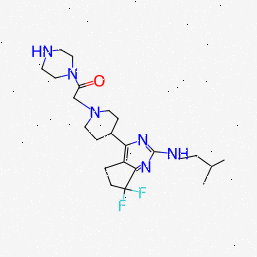 CC(C)CCNc1nc(C2CCN(CC(=O)N3CCNCC3)CC2)c2c(n1)C(F)(F)CC2